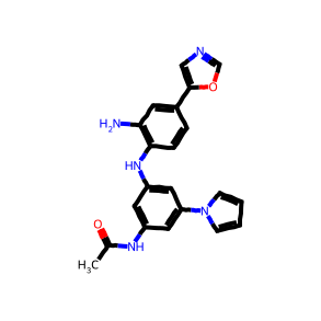 CC(=O)Nc1cc(Nc2ccc(-c3cnco3)cc2N)cc(-n2cccc2)c1